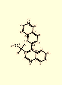 CC(C)(O)c1cnc2ccccc2c1-c1ccc2cnccc2c1